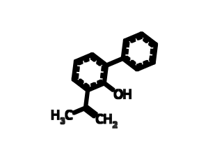 C=C(C)c1cccc(-c2ccccc2)c1O